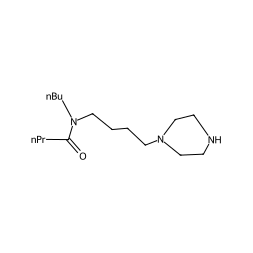 CCCCN(CCCCN1CCNCC1)C(=O)CCC